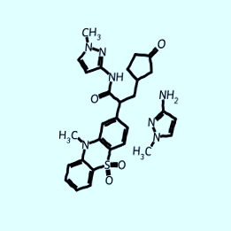 CN1c2ccccc2S(=O)(=O)c2ccc(C(CC3CCC(=O)C3)C(=O)Nc3ccn(C)n3)cc21.Cn1ccc(N)n1